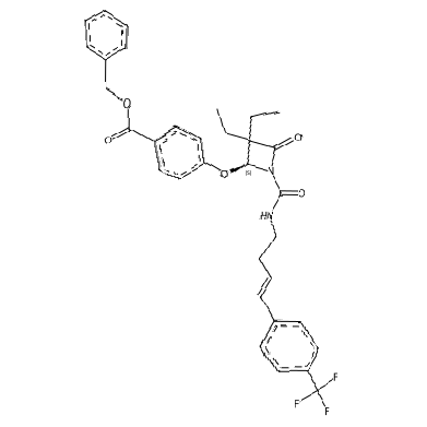 CCC1(CC)C(=O)N(C(=O)NCCC=Cc2ccc(C(F)(F)F)cc2)[C@H]1Oc1ccc(C(=O)OCc2ccccc2)cc1